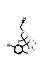 CC(N)(c1cc(Br)ccc1F)C(F)(F)COCC#N